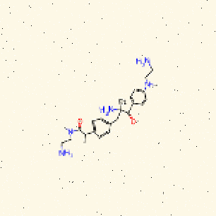 CCC(N)(Cc1ccc(C(C)C(=O)N(C)CCN)cc1)C(=O)c1ccc(N(C)CCN)cc1